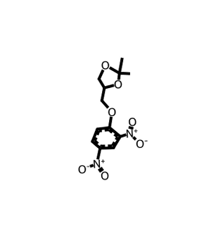 CC1(C)OCC(COc2ccc([N+](=O)[O-])cc2[N+](=O)[O-])O1